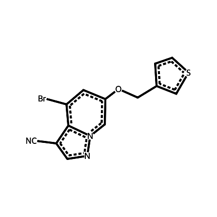 N#Cc1cnn2cc(OCc3ccsc3)cc(Br)c12